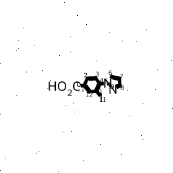 O=C(O)c1ccc(-n2cccn2)c(I)c1